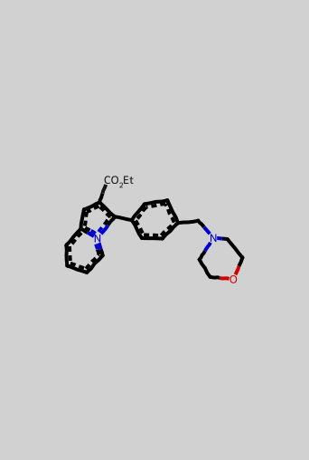 CCOC(=O)c1cc2ccccn2c1-c1ccc(CN2CCOCC2)cc1